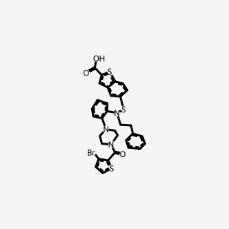 O=C(O)c1cc2cc(SN(CCc3ccccc3)c3ccccc3N3CCN(C(=O)c4sccc4Br)CC3)ccc2s1